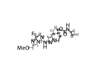 COCc1cn2c(Nc3cc([C@@H]4CC[C@H](OC(=O)NC56CC(C5)C6)[C@@H]4F)[nH]n3)ncc(F)c2n1